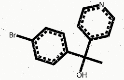 CC(O)(c1ccncc1)c1ccc(Br)cc1